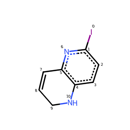 Ic1ccc2c(n1)C=CCN2